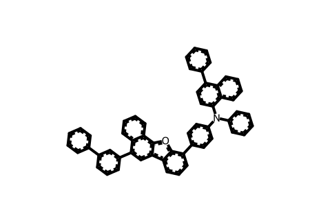 c1ccc(-c2cccc(-c3cc4c5cccc(-c6ccc(N(c7ccccc7)c7ccc(-c8ccccc8)c8ccccc78)cc6)c5oc4c4ccccc34)c2)cc1